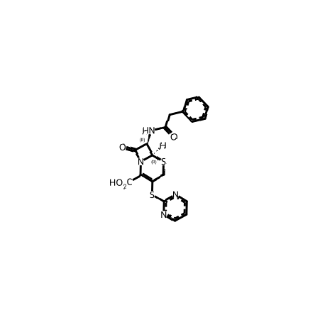 O=C(Cc1ccccc1)N[C@@H]1C(=O)N2C(C(=O)O)=C(Sc3ncccn3)CS[C@H]12